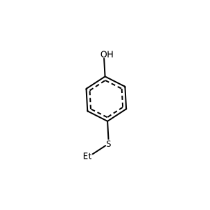 [CH2]CSc1ccc(O)cc1